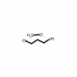 CCCCCCCl.[SiH3]Cl